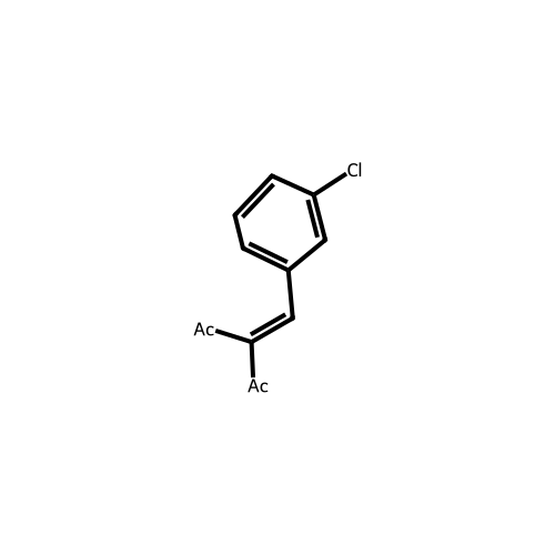 CC(=O)C(=Cc1cccc(Cl)c1)C(C)=O